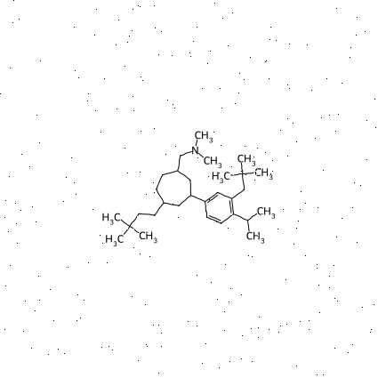 CC(C)c1ccc(C2CC(CCC(C)(C)C)CCC(CN(C)C)C2)cc1CC(C)(C)C